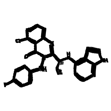 CC[C@H](Nc1ccnc2[nH]ccc12)c1nc2cccc(Cl)c2c(=O)n1Nc1ccc(F)cc1